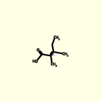 CC/C(C)=C(/C)C(=O)O